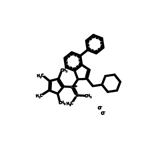 CC1=C(C)C(C)[C]([Zr+2]([CH]2C(CC3CCCCC3)=Cc3c(-c4ccccc4)cccc32)=[Si](C)C)=C1C.[Cl-].[Cl-]